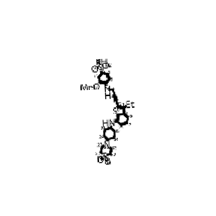 CCc1c(C#CCNc2ccc(S(N)(=O)=O)cc2OC)sc2c(NC3CCC(N4CCS(=O)(=O)CC4)CC3)cccc12